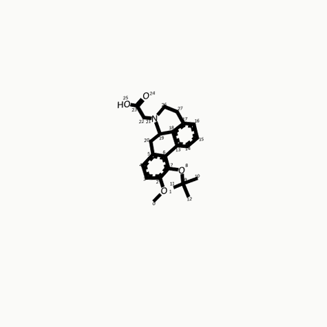 COc1ccc2c(c1OC(C)(C)C)-c1cccc3c1C(C2)N(CC(=O)O)CC3